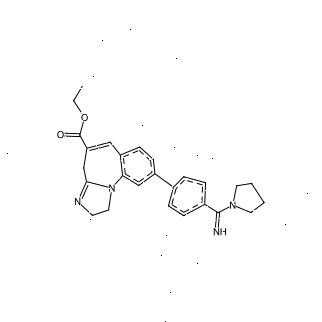 CCOC(=O)C1=Cc2ccc(-c3ccc(C(=N)N4CCCC4)cc3)cc2N2CCN=C2C1